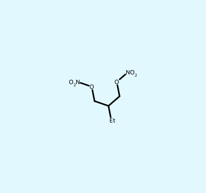 [CH2]CC(CO[N+](=O)[O-])CO[N+](=O)[O-]